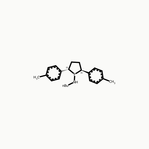 CCCCNP1[C@H](c2ccc(C)cc2)CC[C@H]1c1ccc(C)cc1